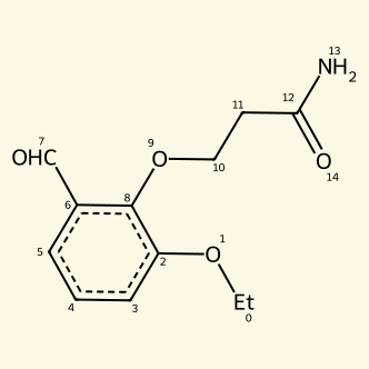 CCOc1cccc(C=O)c1OCCC(N)=O